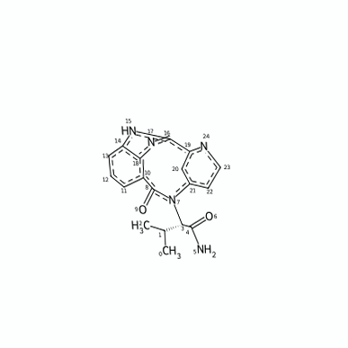 CC(C)[C@@H](C(N)=O)n1c(=O)c2cccc3[nH]c(nc32)c2cc1ccn2